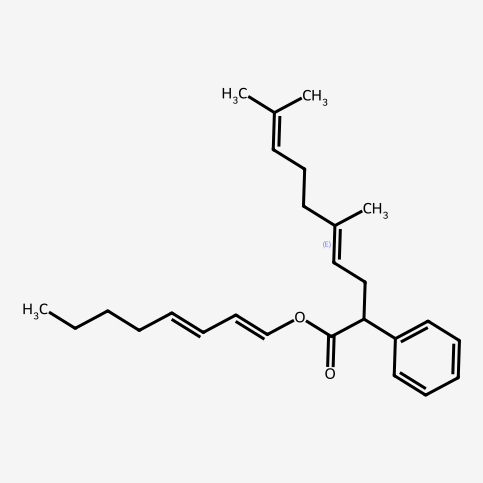 CCCCC=CC=COC(=O)C(C/C=C(\C)CCC=C(C)C)c1ccccc1